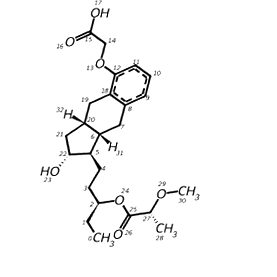 CC[C@@H](CC[C@@H]1[C@H]2Cc3cccc(OCC(=O)O)c3C[C@H]2C[C@H]1O)OC(=O)[C@@H](C)OC